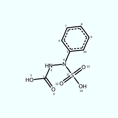 O=C(O)NN(c1ccccc1)S(=O)(=O)O